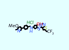 COc1cc(-c2ccc(CN[C@H]3C[C@@H](O)[C@@H](N(C)c4ncnc5sc(CC(F)(F)F)cc45)C3)cc2)cnc1C.Cl